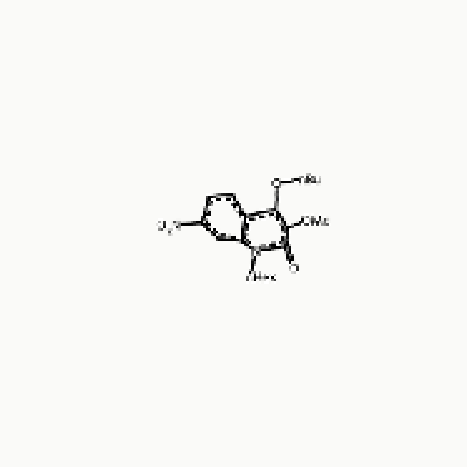 CCCCCCn1c(=O)c(OC)c(OCCCC)c2ccc([N+](=O)[O-])cc21